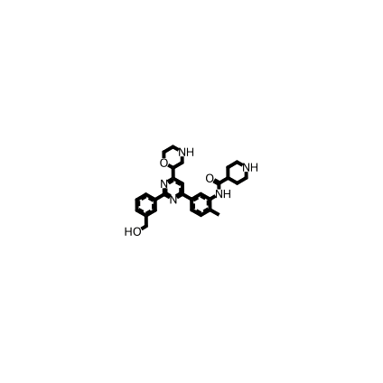 Cc1ccc(-c2cc(C3CNCCO3)nc(-c3cccc(CO)c3)n2)cc1NC(=O)C1CCNCC1